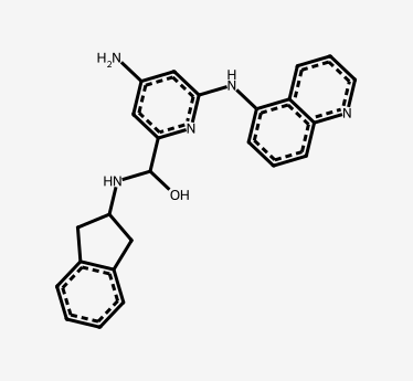 Nc1cc(Nc2cccc3ncccc23)nc(C(O)NC2Cc3ccccc3C2)c1